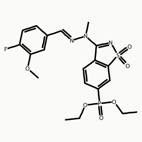 CCOP(=O)(OCC)c1ccc2c(c1)S(=O)(=O)N=C2N(C)/N=C/c1ccc(F)c(OC)c1